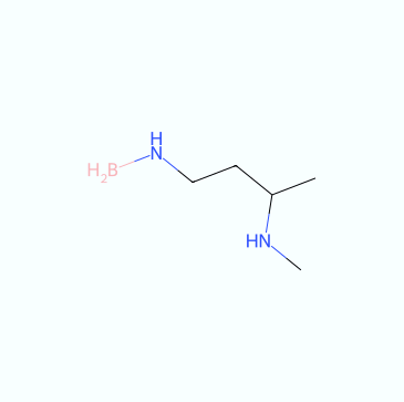 BNCCC(C)NC